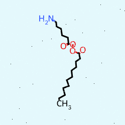 CCCCCCCCCCCC(=O)OOC(=O)CCCCCN